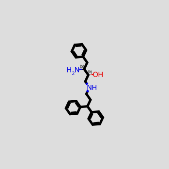 N[C@@H](Cc1ccccc1)[C@H](O)CNCCC(c1ccccc1)c1ccccc1